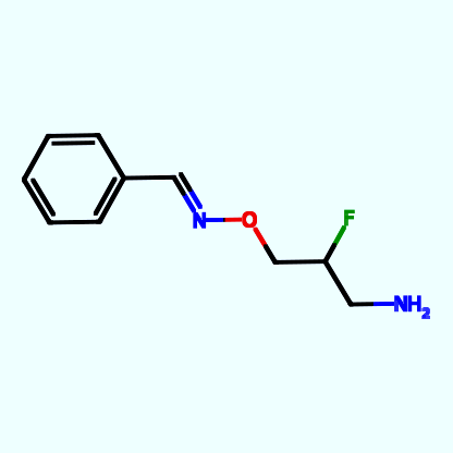 NCC(F)CON=Cc1ccccc1